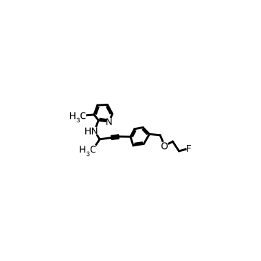 Cc1cccnc1NC(C)C#Cc1ccc(COCCF)cc1